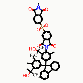 Cc1cc(C2(c3cc(C)c(N4C(=O)c5ccc(S(=O)(=O)c6ccc7c(c6)C(=O)N(C)C7=O)cc5C4=O)c(C(O)(C(F)(F)F)C(F)(F)F)c3)c3ccccc3-c3ccccc32)cc(C(C)(O)C(F)(F)F)c1C